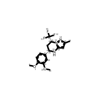 COc1ccc([C@@H]2C[C@H](C(F)(F)F)n3nc(C)cc3N2)cc1OC